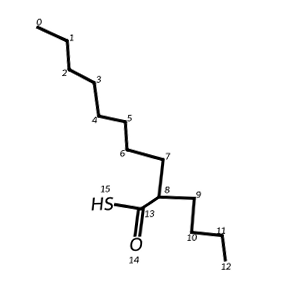 CCCCCCCCC(CCCC)C(=O)S